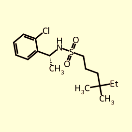 CCC(C)(C)CCCS(=O)(=O)N[C@H](C)c1ccccc1Cl